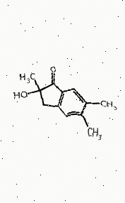 Cc1cc2c(cc1C)C(=O)C(C)(O)C2